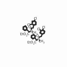 CCOC(=O)C(c1ccccc1)N(C)C(=O)Cc1ccc(Cl)c(Cl)c1.CCOC(=O)C(c1ccccc1)N(C)C(=O)Cc1ccc(Cl)cc1Cl